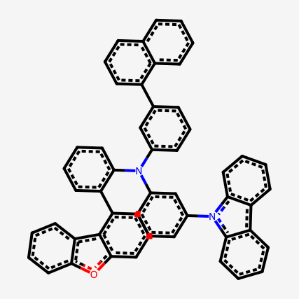 c1cc(-c2cccc3ccccc23)cc(N(c2cccc(-n3c4ccccc4c4ccccc43)c2)c2ccccc2-c2cccc3oc4ccccc4c23)c1